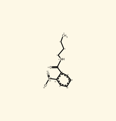 CCCCNC(=O)c1ccccc1[N+](=O)[O-]